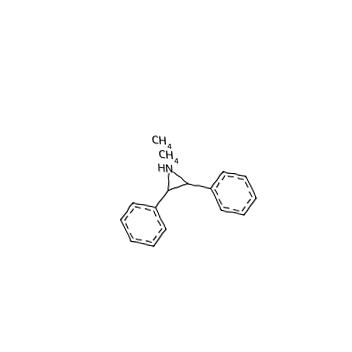 C.C.c1ccc(C2NC2c2ccccc2)cc1